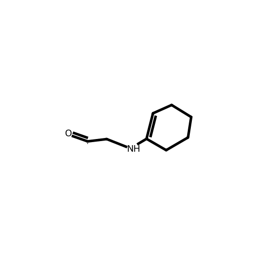 O=[C]CNC1=CCCCC1